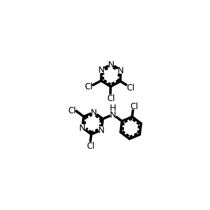 Clc1nc(Cl)nc(Nc2ccccc2Cl)n1.Clc1nnnc(Cl)c1Cl